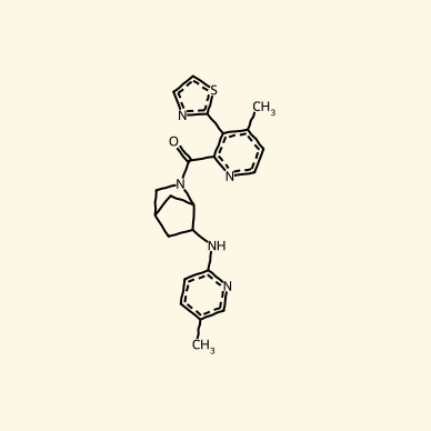 Cc1ccc(NC2CC3CC2N(C(=O)c2nccc(C)c2-c2nccs2)C3)nc1